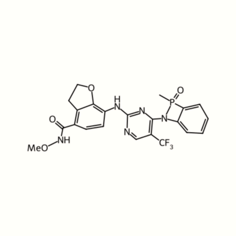 CONC(=O)c1ccc(Nc2ncc(C(F)(F)F)c(N3c4ccccc4P3(C)=O)n2)c2c1CCO2